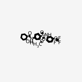 COc1cc(NC(=O)[C@H]2CCCC[C@H]2O)ccc1S(=O)(=O)Nc1cccc(OC(F)(F)F)c1